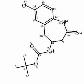 CC(C)(C)OC(=O)NC1CC(=S)Nc2ccc(Cl)cc2C1